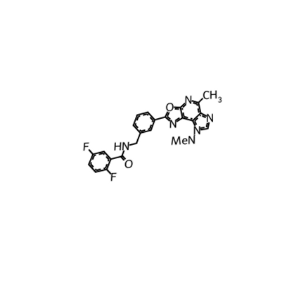 CNn1cnc2c(C)nc3oc(-c4cccc(CNC(=O)c5cc(F)ccc5F)c4)nc3c21